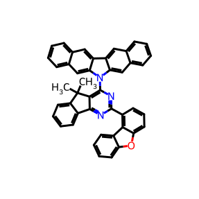 CC1(C)c2ccccc2-c2nc(-c3cccc4oc5ccccc5c34)nc(-n3c4cc5ccccc5cc4c4cc5ccccc5cc43)c21